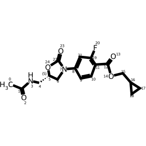 CC(=O)NC[C@H]1CN(c2ccc(C(=O)OCC3CC3)c(F)c2)C(=O)O1